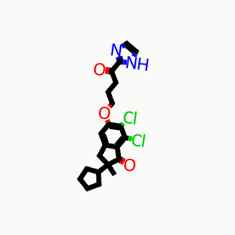 CC1(C2CCCC2)Cc2cc(OCCCC(=O)c3ncc[nH]3)c(Cl)c(Cl)c2C1=O